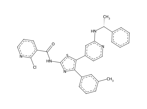 Cc1cccc(-c2nc(NC(=O)c3cccnc3Cl)sc2-c2ccnc(N[C@H](C)c3ccccc3)c2)c1